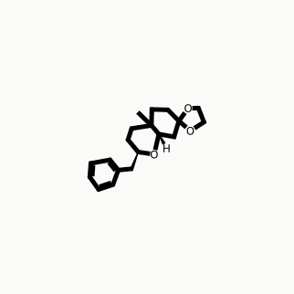 CC12CC[C@H](Cc3ccccc3)O[C@H]1CC1(CC2)OCCO1